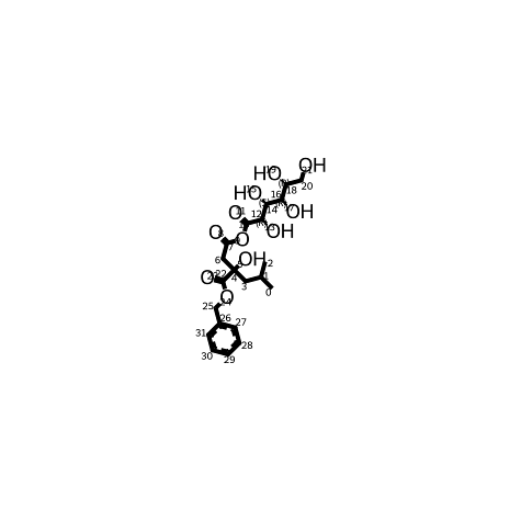 CC(C)CC(O)(CC(=O)OC(=O)[C@H](O)[C@@H](O)[C@H](O)[C@H](O)CO)C(=O)OCc1ccccc1